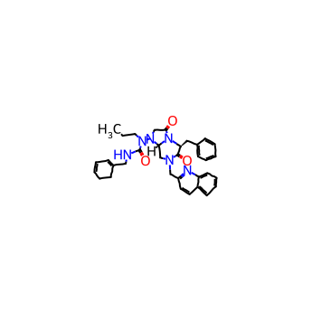 CCCN(C(=O)NCC1=CC=CCC1)N1CC(=O)N2[C@@H](Cc3ccccc3)C(=O)N(Cc3ccc4ccccc4n3)C[C@@H]21